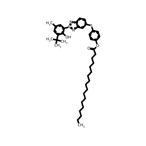 CCCCCCCCCCCCCCCCCC(=O)Oc1ccc(Sc2ccc3nn(-c4cc(C)cc(C(C)(C)C)c4O)nc3c2)cc1